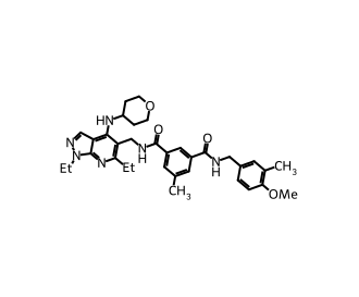 CCc1nc2c(cnn2CC)c(NC2CCOCC2)c1CNC(=O)c1cc(C)cc(C(=O)NCc2ccc(OC)c(C)c2)c1